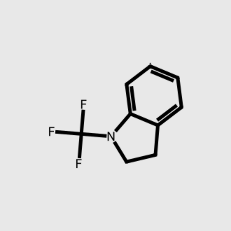 FC(F)(F)N1CCc2cc[c]cc21